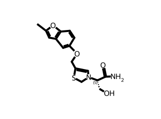 Cc1cc2cc(OCC3=CN([C@@H](CO)C(N)=O)CS3)ccc2o1